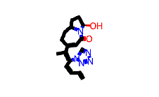 C=C/C=C\C(=C(/C)C1=CC(=O)N2C(CC1)CC[C@H]2O)n1cnnn1